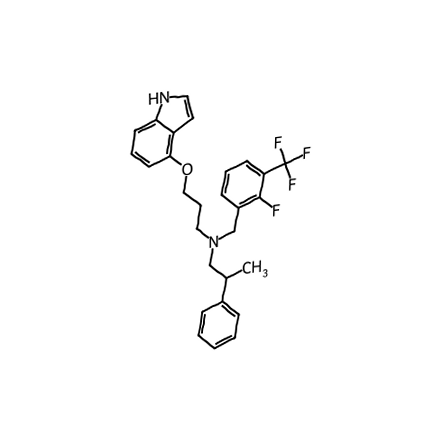 CC(CN(CCCOc1cccc2[nH]ccc12)Cc1cccc(C(F)(F)F)c1F)c1ccccc1